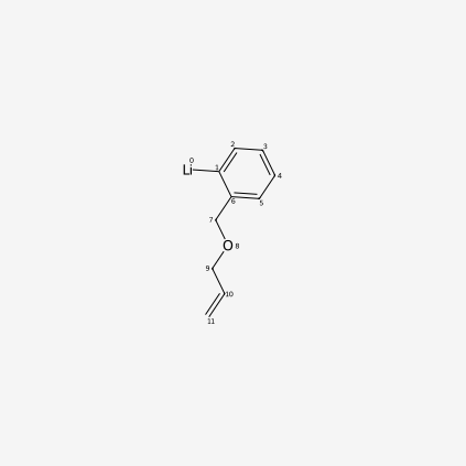 [Li][c]1ccccc1COCC=C